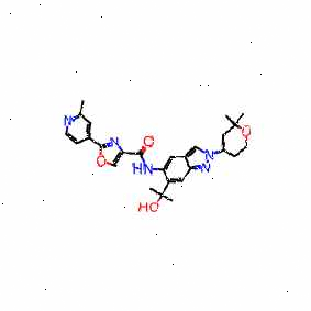 Cc1cc(-c2nc(C(=O)Nc3cc4cn(C5CCOC(C)(C)C5)nc4cc3C(C)(C)O)co2)ccn1